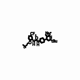 CN(C)CCOc1ccc(C(F)(F)F)cc1NC(=O)Nc1ccc(-c2cc(C(C)(C)C)nc3c2cnn3C)cc1